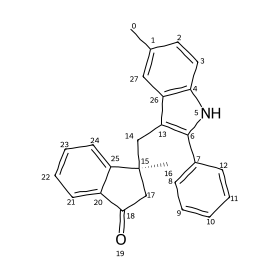 Cc1ccc2[nH]c(-c3ccccc3)c(C[C@@]3(C)CC(=O)c4ccccc43)c2c1